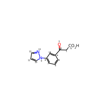 O=C(O)CC(=O)c1cccc(-n2cccn2)c1